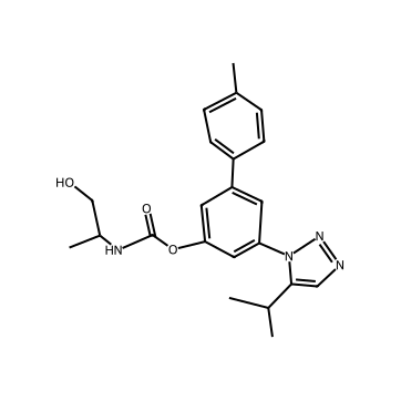 Cc1ccc(-c2cc(OC(=O)NC(C)CO)cc(-n3nncc3C(C)C)c2)cc1